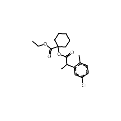 CCOC(=O)C1(OC(=O)C(C)c2cc(Cl)ccc2C)CCCCC1